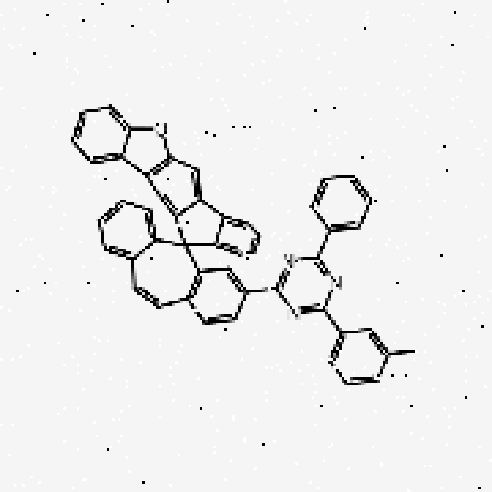 Cc1cccc(-c2nc(-c3ccccc3)nc(-c3ccc4c(c3)C3(c5ccccc5C=C4)c4ccccc4-c4cc5oc6ccccc6c5cc43)n2)c1